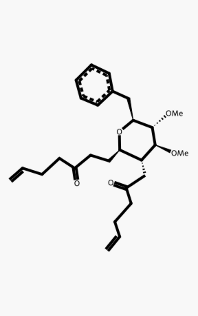 C=CCCC(=O)CC[C@H]1O[C@@H](Cc2ccccc2)[C@H](OC)[C@@H](OC)[C@@H]1CC(=O)CCC=C